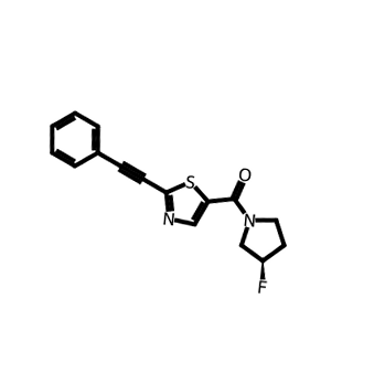 O=C(c1cnc(C#Cc2ccccc2)s1)N1CC[C@@H](F)C1